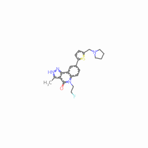 Cc1[nH]nc2c1c(=O)n(CCF)c1ccc(-c3ccc(CN4CCCC4)s3)cc21